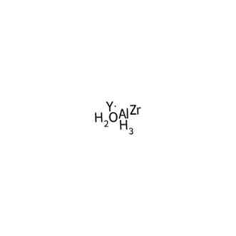 O.[AlH3].[Y].[Zr]